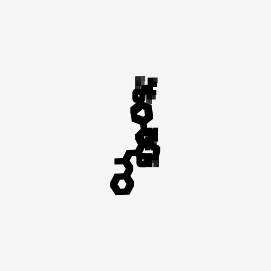 CCn1nc(-c2ccc(OC(F)(F)F)cc2)cc1C(O)CC(C)CC1CCCCC1